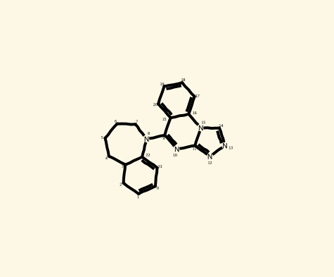 C1=CCC2CCCCN(c3nc4nncn4c4ccccc34)C2=C1